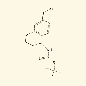 CC(C)(C)OC(=O)NC1CCOc2cc(CO)ccc21